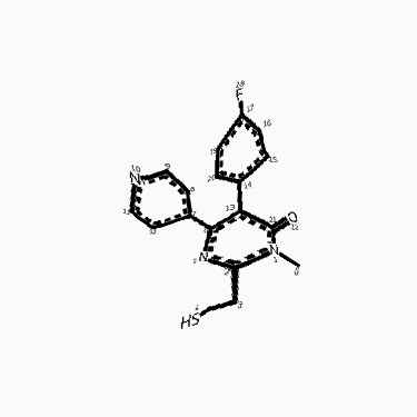 Cn1c(CS)nc(-c2ccncc2)c(-c2ccc(F)cc2)c1=O